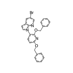 Brc1cnc2c(ccn2-c2ccc(OCc3ccccc3)nc2OCc2ccccc2)c1